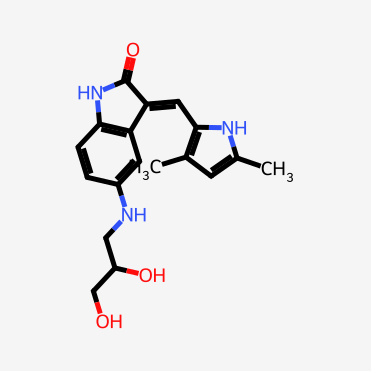 Cc1cc(C)c(C=C2C(=O)Nc3ccc(NCC(O)CO)cc32)[nH]1